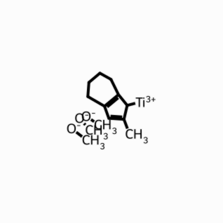 CC1=CC2=C(CCCC2)[CH]1[Ti+3].C[O-].C[O-].C[O-]